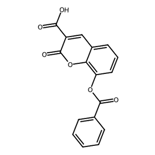 O=C(Oc1cccc2cc(C(=O)O)c(=O)oc12)c1ccccc1